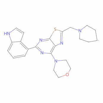 [CH]1CCN(Cc2nc3c(N4CCOCC4)nc(-c4cccc5[nH]ccc45)nc3s2)CC1